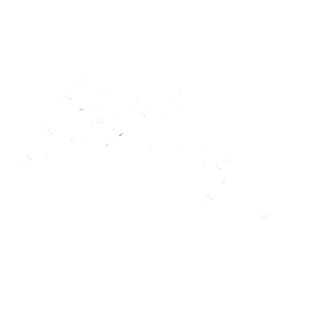 NCCSc1nccc(S/C=C/C2=C(C(=O)O)N3C(=O)[C@@H](NC(=O)/C(=N\O)c4nsc(N)n4)[C@H]3SC2)n1